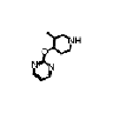 CC1CNCCC1Oc1ncccn1